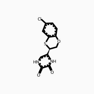 O=c1[nH]cc([C@@H]2COc3ccc(Cl)cc3S2)[nH]c1=O